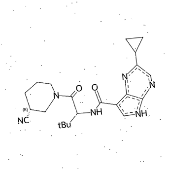 CC(C)(C)C(NC(=O)c1c[nH]c2ncc(C3CC3)nc12)C(=O)N1CCC[C@@H](C#N)C1